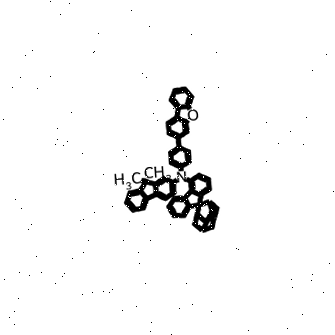 CC1(C)c2ccccc2-c2ccc(N(c3ccc(-c4ccc5c(c4)oc4ccccc45)cc3)c3cccc4c3-c3ccccc3C43C4CC5CC(C4)CC3C5)cc21